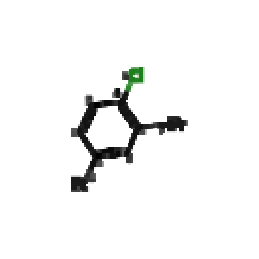 CCc1ccc(Cl)c(C(C)C)c1